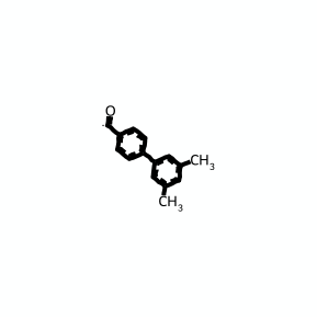 Cc1cc(C)cc(-c2ccc([C]=O)cc2)c1